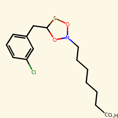 O=C(O)CCCCCCN1OSC(Cc2cccc(Cl)c2)O1